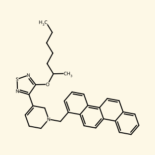 CCCCCC(C)Oc1nsnc1C1=CCCN(Cc2cccc3c2ccc2c4ccccc4ccc32)C1